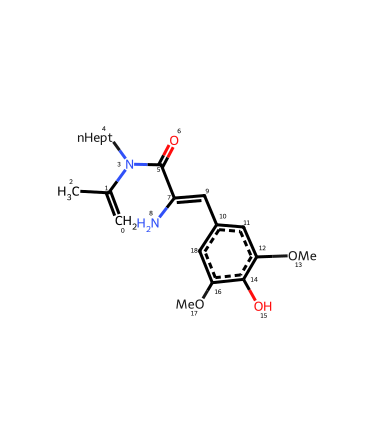 C=C(C)N(CCCCCCC)C(=O)/C(N)=C/c1cc(OC)c(O)c(OC)c1